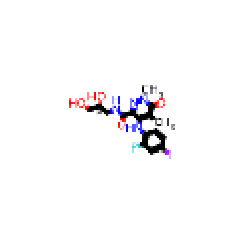 Cc1c(Nc2ccc(I)cc2F)c(C(=O)NC[C@H](O)CO)nn(C)c1=O